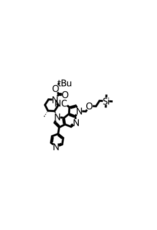 C[C@@H]1CCN(C(=O)OC(C)(C)C)C[C@@H]1n1cc(-c2ccncc2)c2cnc3c(c(C#N)cn3COCC[Si](C)(C)C)c21